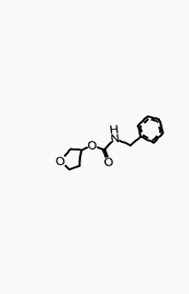 O=C(NCc1ccccc1)OC1CCOC1